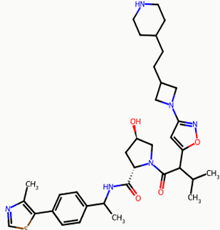 Cc1ncsc1-c1ccc(C(C)NC(=O)[C@@H]2C[C@@H](O)CN2C(=O)C(c2cc(N3CC(CCC4CCNCC4)C3)no2)C(C)C)cc1